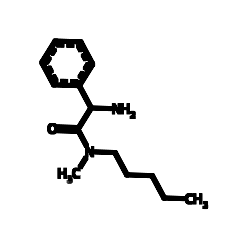 CCCCCN(C)C(=O)C(N)c1ccccc1